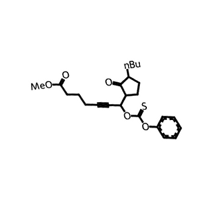 CCCCC1CCC(C(C#CCCCC(=O)OC)OC(=S)Oc2ccccc2)C1=O